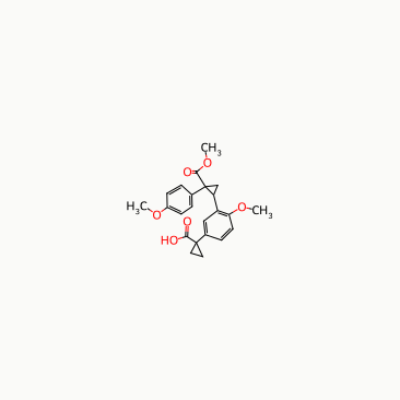 COC(=O)C1(c2ccc(OC)cc2)CC1c1cc(C2(C(=O)O)CC2)ccc1OC